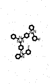 Fc1cccc(-c2nc3ccccc3n2-c2ccc(-c3nc(-c4ccccc4)nc(-c4ccc(-n5c(-c6cccc(F)c6)nc6ccccc65)cc4)n3)cc2)c1